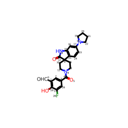 O=Cc1cc(C(=O)N2CCC3(CC2)C(=O)Nc2cc(N4CCCC4)ccc23)cc(F)c1O